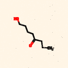 [CH2]CCC(=O)CCCCO